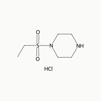 CCS(=O)(=O)N1CCNCC1.Cl